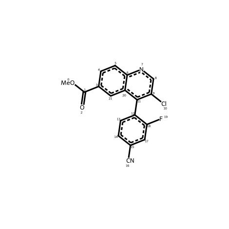 COC(=O)c1ccc2ncc(Cl)c(-c3ccc(C#N)cc3F)c2c1